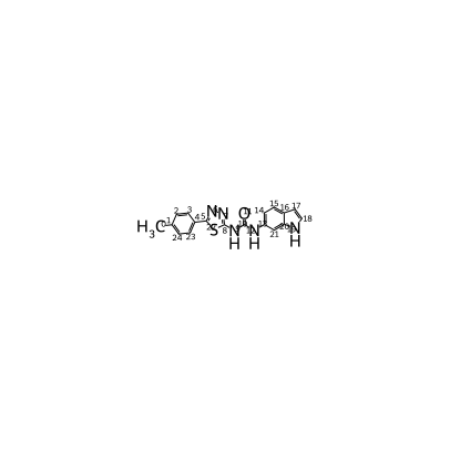 Cc1ccc(-c2nnc(NC(=O)Nc3ccc4cc[nH]c4c3)s2)cc1